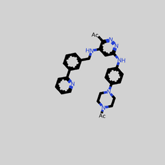 CC(=O)c1nnc(Nc2ccc(N3CCN(C(C)=O)CC3)cc2)cc1NCc1cccc(-c2ccccn2)c1